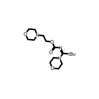 CC(C)(C)/C(=N/C(=O)OCCN1CCOCC1)N1CCOCC1